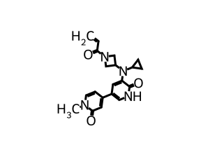 C=CC(=O)N1CC(N(c2cc(-c3ccn(C)c(=O)c3)c[nH]c2=O)C2CC2)C1